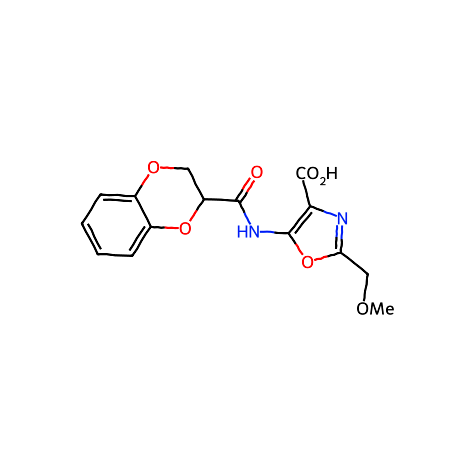 COCc1nc(C(=O)O)c(NC(=O)C2COc3ccccc3O2)o1